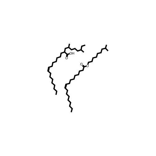 CCCCCCCC/C=C\CCCCCCC(CC(C)CCCC(C)CC)C(=O)O.CCCCCCCC/C=C\CCCCCCCC(=O)OCCCCCCCC(C)C